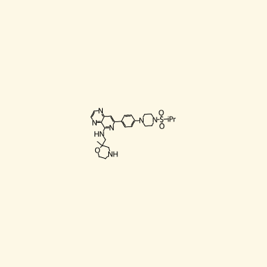 CC(C)S(=O)(=O)N1CCN(c2ccc(-c3cc4nccnc4c(NCC4(C)CNCCO4)n3)cc2)CC1